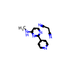 CNc1ccnc(-c2ccncc2)n1.N#CCC#N